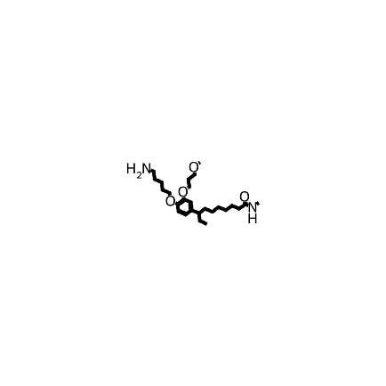 CCC(CCCCCCC(=O)NC)c1ccc(OCCCCCN)c(OCCCOC)c1